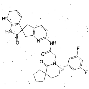 O=C(CN1C(=O)C2(CCCC2)CC[C@H]1c1cc(F)cc(F)c1)Nc1ccc2c(n1)CC1(C2)C(=O)NC2=C1C=CCN2